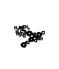 CC(=O)N(CC(C)N(C)C)c1ccc(NC(=C2C(=O)Nc3cc(Cl)ccc32)c2ccc(OCc3ccccc3)cc2)cc1